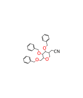 N#CCC1COC(COCc2ccccc2)C(OCc2ccccc2)C1OCc1ccccc1